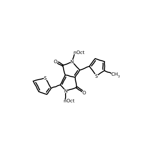 CCCCCCCCN1C(=O)C2=C(c3ccc(C)s3)N(CCCCCCCC)C(=O)C2=C1c1cccs1